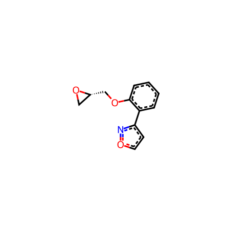 c1ccc(-c2ccon2)c(OC[C@@H]2CO2)c1